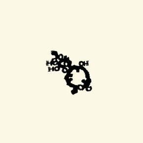 CCC(=O)OC1C(O)C(O)C(OC2/C(C)=C/C(C)=C/CC(CC)OC(=O)/C(C)=C/C=C/CC(O)/C(C)=C/C2CC)OC1(C)C